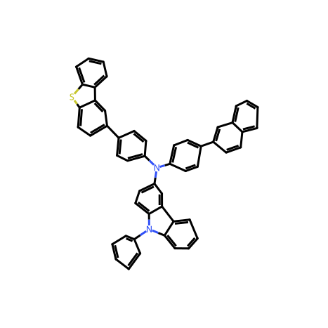 c1ccc(-n2c3ccccc3c3cc(N(c4ccc(-c5ccc6ccccc6c5)cc4)c4ccc(-c5ccc6sc7ccccc7c6c5)cc4)ccc32)cc1